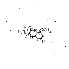 COc1cc(F)cc2nc(NN)c(C)nc12